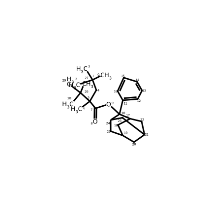 CC(C)(C)CC(C)(C(=O)OC1(c2ccccc2)C2CC3CC(C2)CC1C3)C(C)(C)C